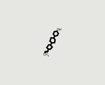 C/C=C/C1CCC(C2CCC(C3CCC(O)CC3)CC2)CC1